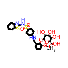 COc1cccc(CNc2ccc(S(=O)(=O)Nc3nc4ccccc4s3)cc2)c1O[C@@H]1O[C@H](C(=O)O)[C@@H](O)[C@H](O)[C@H]1O